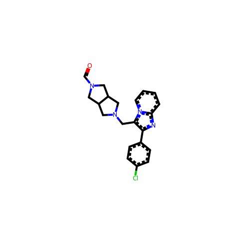 O=CN1CC2CN(Cc3c(-c4ccc(Cl)cc4)nc4ccccn34)CC2C1